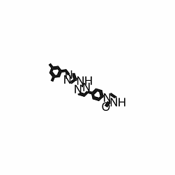 Cc1cc(C)cc(Cn2cc(Nc3nccc(-c4ccc(N5CCNC5=O)cc4)n3)cn2)c1